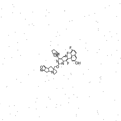 Oc1cc(-c2ncc3c(N4CC5CCC(C4)N5)nc(OCC45CCCN4C4Cc6nocc6C4C5)nc3c2F)c2c(F)c(F)ccc2c1